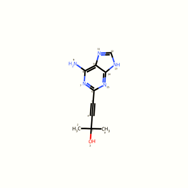 CC(C)(O)C#Cc1nc(N)c2nc[nH]c2n1